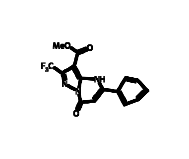 COC(=O)c1c(C(F)(F)F)nn2c(=O)cc(-c3ccccc3)[nH]c12